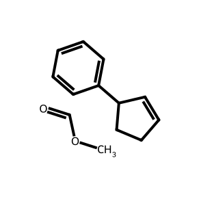 C1=CC(c2ccccc2)CC1.COC=O